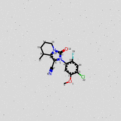 COc1cc(-n2c(C#N)c3n(c2=O)CCCC3C)c(F)cc1Cl